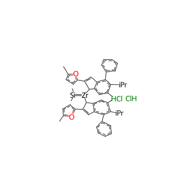 Cc1ccc(C2=Cc3c(cc(C)c(C(C)C)c3-c3ccccc3)[CH]2[Zr]([CH]2C(c3ccc(C)o3)=Cc3c2cc(C)c(C(C)C)c3-c2ccccc2)=[Si](C)C)o1.Cl.Cl